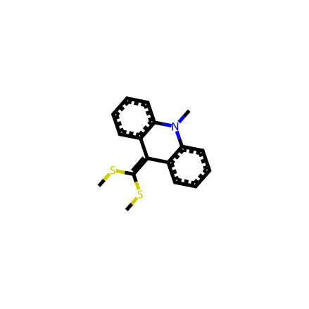 CSC(SC)=C1c2ccccc2N(C)c2ccccc21